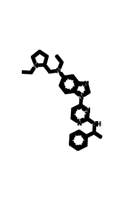 CCN(CC1CCCN1CC)c1ccc2c(c1)ncn2-c1ccnc(NC(C)c2ccccc2)n1